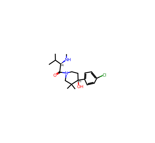 CN[C@@H](C(=O)N1CC[C@](O)(c2ccc(Cl)cc2)C(C)(C)C1)C(C)C